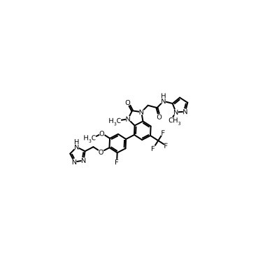 COc1cc(-c2cc(C(F)(F)F)cc3c2n(C)c(=O)n3CC(=O)Nc2ccnn2C)cc(F)c1OCc1nnc[nH]1